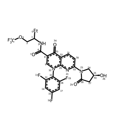 CCC(COC(F)(F)F)NC(=O)c1cn(-c2c(F)cc(F)cc2F)c2nc(N3C[C@@H](O)CC3=O)ccc2c1=O